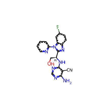 N#Cc1c(N)ncnc1N[C@@H](CO)c1nc2ccc(F)cc2n1-c1ccccn1